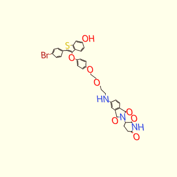 O=C1CCC(N2C(=O)c3ccc(NCCCOCCOc4ccc(Oc5c(-c6ccc(Br)cc6)sc6cc(O)ccc56)cc4)cc3C2=O)C(=O)N1